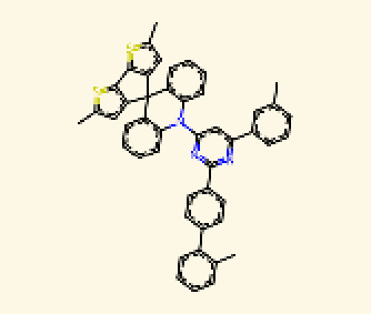 Cc1cccc(-c2cc(N3c4ccccc4C4(c5ccccc53)c3cc(C)sc3-c3sc(C)cc34)nc(-c3ccc(-c4ccccc4C)cc3)n2)c1